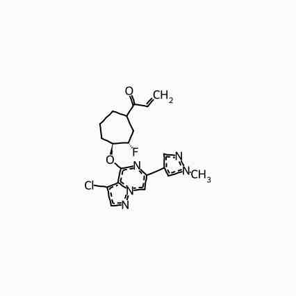 C=CC(=O)C1CCC[C@H](Oc2nc(-c3cnn(C)c3)cn3ncc(Cl)c23)[C@@H](F)C1